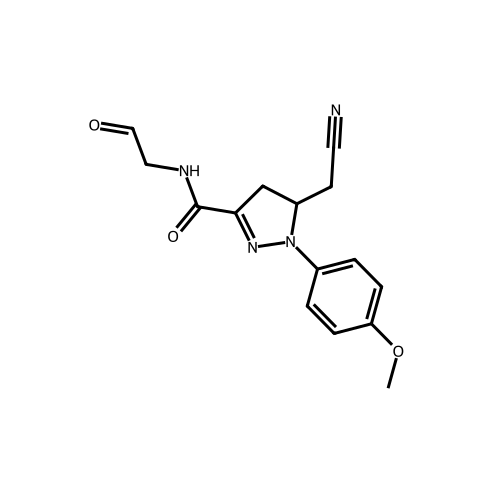 COc1ccc(N2N=C(C(=O)NCC=O)CC2CC#N)cc1